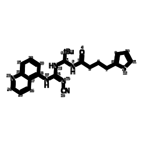 CC(C)(C)C(NC(=O)CCCc1cccs1)N/C(=N/C#N)Nc1cccc2ncccc12